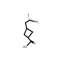 C[C@H](N)CC1CC(C(=O)O)C1